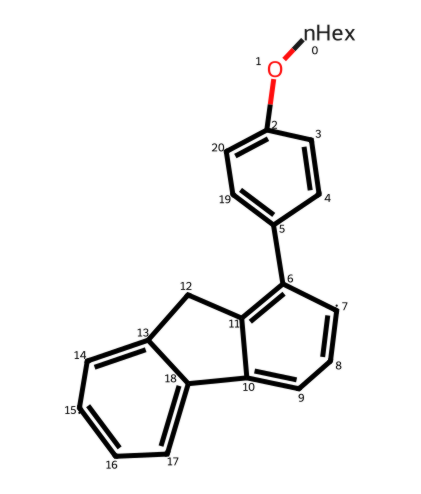 CCCCCCOc1ccc(-c2[c]ccc3c2Cc2c[c]ccc2-3)cc1